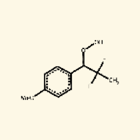 COc1ccc(C(OO)C(C)(F)F)cc1